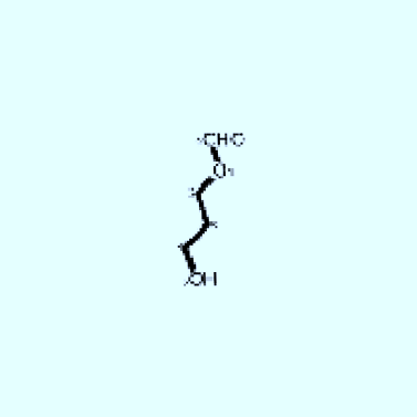 O=COCCCO